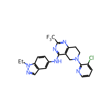 CCn1ncc2cc(Nc3nc(C(F)(F)F)nc4c3CN(c3ncccc3Cl)CC4)ccc21